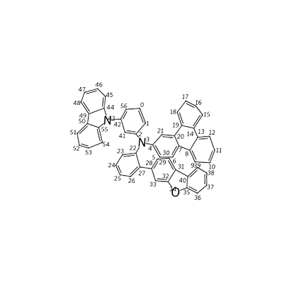 c1cc(N(c2ccc3c4ccccc4c4ccccc4c3c2)c2ccccc2-c2ccc3c(c2)oc2ccccc23)cc(-n2c3ccccc3c3ccccc32)c1